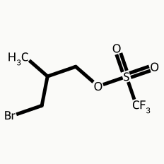 CC(CBr)COS(=O)(=O)C(F)(F)F